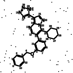 c1ccc(COc2cccc(-c3cnc4c(-c5nnn[nH]5)cnn4c3C3CCCCC3)c2)cc1